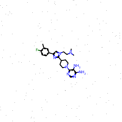 Cc1cc(-c2cn(CCN(C)C)c(C3CCN(c4ncnc(N)c4N)CC3)n2)ccc1F